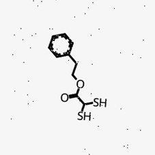 O=C(OCCc1ccccc1)C(S)S